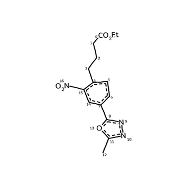 CCOC(=O)CCCc1ccc(-c2nnc(C)o2)cc1[N+](=O)[O-]